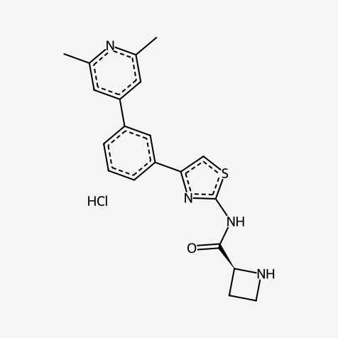 Cc1cc(-c2cccc(-c3csc(NC(=O)[C@@H]4CCN4)n3)c2)cc(C)n1.Cl